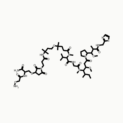 CCC(C)C(C(CC(=O)N1CCCC1C(OC)C(C)C(=O)NCc1nccs1)OC)N(C)C(=O)CNC(=O)C(C(C)C)N(C)C(=O)CCC(C)(C)OCCC(C)(C)NC(=O)CCN1C(=O)CC(SCC(NC(=O)CON)C(N)=O)C1=O